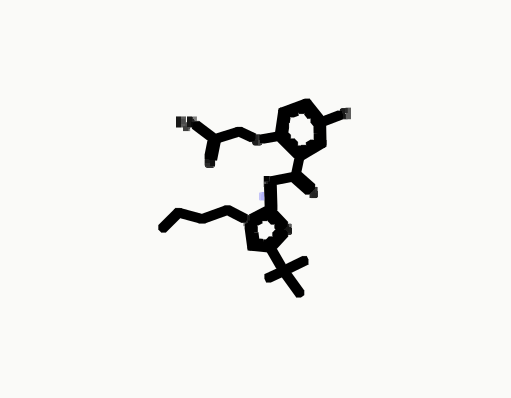 CCCCn1cc(C(C)(C)C)s/c1=N\C(=S)c1cc(Cl)ccc1OCC(N)=O